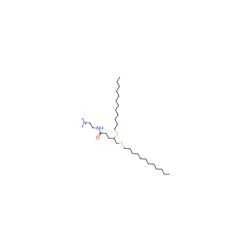 CCCCCCCCCCCCSCC(CCC(=O)NCCN(C)C)SCCCCCCCCCCCC